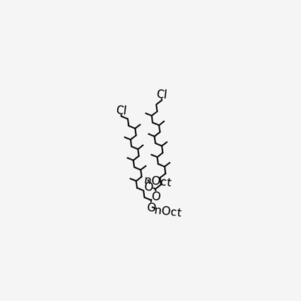 CCCCCCCCOC(CCCC(C)CC(C)CC(C)CC(C)CC(C)CC(C)CCCCl)OC(CCCC(C)CC(C)CC(C)CC(C)CC(C)CC(C)CCCCl)OCCCCCCCC